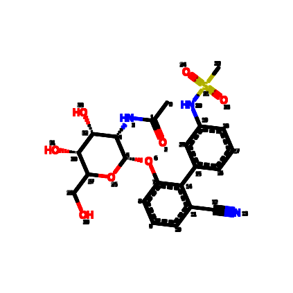 CC(=O)N[C@@H]1[C@H](Oc2cccc(C#N)c2-c2cccc(NS(C)(=O)=O)c2)OC(CO)[C@H](O)[C@@H]1O